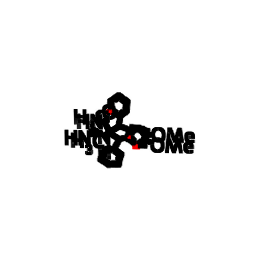 COc1ccc(C(c2ccccc2C)C2(C(c3ccc(OC)cc3)c3ccccc3C)NC(=N)NC2=O)cc1